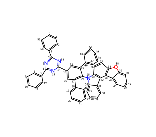 c1ccc(-c2nc(-c3ccccc3)nc(-c3cc(-c4ccccc4)c(-n4c5ccccc5c5c6c(ccc54)oc4ccccc46)c(-c4ccccc4)c3)n2)cc1